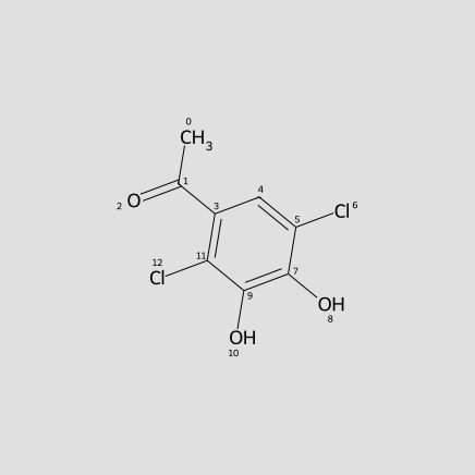 CC(=O)c1cc(Cl)c(O)c(O)c1Cl